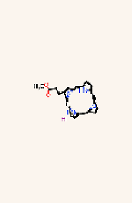 COC(=O)CCC1=Cc2cc3ccc(cc4nc(cc5ccc(cc1n2)[nH]5)C=C4)[nH]3.I